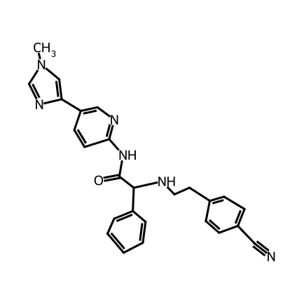 Cn1cnc(-c2ccc(NC(=O)C(NCCc3ccc(C#N)cc3)c3ccccc3)nc2)c1